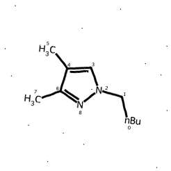 CCCCCn1cc(C)c(C)n1